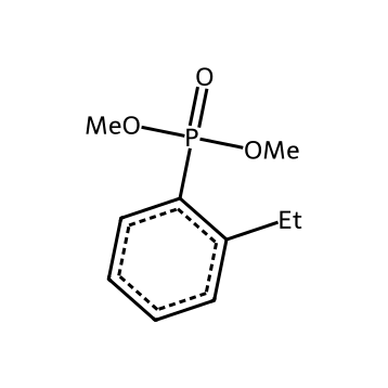 CCc1ccccc1P(=O)(OC)OC